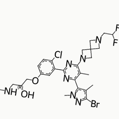 CNC[C@@H](O)COc1ccc(Cl)c(-c2nc(-c3c(C)c(Br)nn3C)c(C)c(N3CC4(CN(CC(F)F)C4)C3)n2)c1